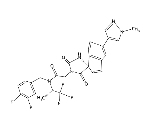 C[C@H](N(Cc1ccc(F)c(F)c1)C(=O)CN1C(=O)N[C@]2(C=Cc3cc(-c4cnn(C)c4)ccc32)C1=O)C(F)(F)F